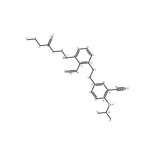 CCCC(=O)CCNc1cccc(CCc2ccc(OC(C)C)c(C#N)c2)c1C=N